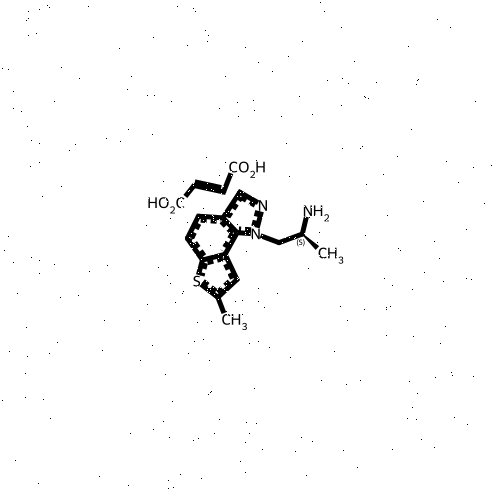 Cc1cc2c(ccc3cnn(C[C@H](C)N)c32)s1.O=C(O)C=CC(=O)O